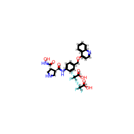 O=C(NO)[C@H]1CNC[C@@H]1C(=O)Nc1ccc(COc2ccnc3ccccc23)cc1.O=C(O)C(F)(F)F.O=C(O)C(F)(F)F